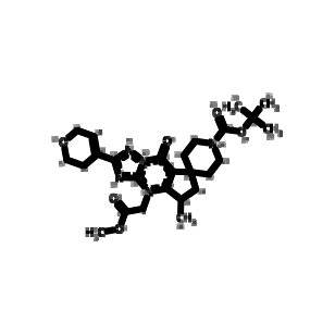 COC(=O)Cn1c2c(c(=O)n3nc(C4=CCOCC4)nc13)C1(CCN(C(=O)OC(C)(C)C)CC1)CC2C